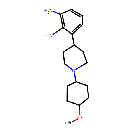 CCCOC1CCC(N2CCC(c3cccc(N)c3N)CC2)CC1